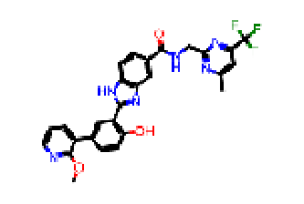 COc1ncccc1-c1ccc(O)c(-c2nc3cc(C(=O)NCc4nc(C)cc(C(F)(F)F)n4)ccc3[nH]2)c1